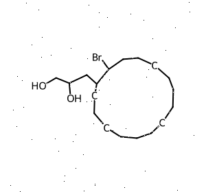 OCC(O)CC1CCCCCCCCCCCCCC1Br